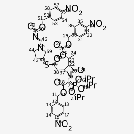 CC(C)OP(OC(C)C)(OC(C)C)=C(C(=O)OCc1ccc([N+](=O)[O-])cc1)N1C(=O)C(C(C)OC(=O)OCc2ccc([N+](=O)[O-])cc2)C1CC(=O)SC1CCN(C=NC(=O)OCc2ccc([N+](=O)[O-])cc2)C1